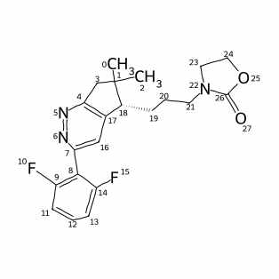 CC1(C)Cc2nnc(-c3c(F)cccc3F)cc2[C@H]1CCCN1CCOC1=O